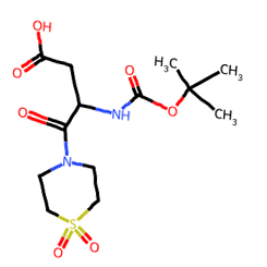 CC(C)(C)OC(=O)NC(CC(=O)O)C(=O)N1CCS(=O)(=O)CC1